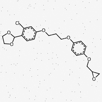 Clc1cc(OCCCOc2ccc(OCC3CO3)cc2)ccc1C1OCCO1